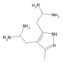 Cc1n[nH]c(CC(N)N)c1CC(N)N